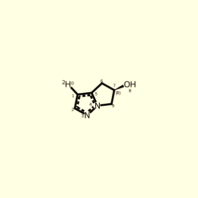 [2H]c1cnn2c1C[C@@H](O)C2